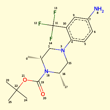 C[C@@H]1CN(c2ccc(N)cc2C(F)(F)F)C[C@H](C)N1C(=O)OC(C)(C)C